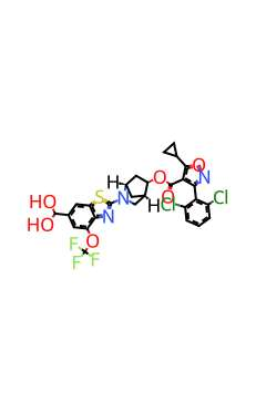 O=C(O[C@@H]1C[C@@H]2C[C@H]1CN2c1nc2c(OC(F)(F)F)cc(C(O)O)cc2s1)c1c(-c2c(Cl)cccc2Cl)noc1C1CC1